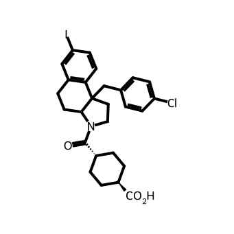 O=C(O)[C@H]1CC[C@H](C(=O)N2CCC3(Cc4ccc(Cl)cc4)c4ccc(I)cc4CCC23)CC1